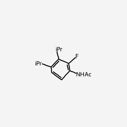 CC(=O)Nc1ccc(C(C)C)c(C(C)C)c1F